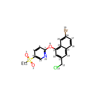 CCS(=O)(=O)c1ccc(Oc2cc(CCl)cc3ccc(Br)cc23)nc1